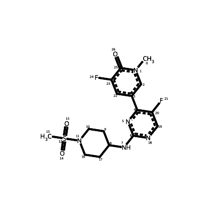 Cn1cc(-c2nc(NC3CCN(S(C)(=O)=O)CC3)ncc2F)cc(F)c1=O